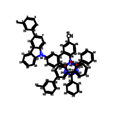 Cc1cccc(-c2ccc3c(c2)c2ccccc2n3-c2ccc(-c3nc(-c4ccccc4)nc(-c4ccccc4)n3)c(-c3cc(C#N)ccc3-n3c4ccccc4c4cc(-c5cccc(C)c5)ccc43)c2)c1